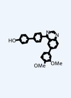 COc1ccc(-c2ccc3ncnc(-c4ccc(-c5ccc(O)cc5)cc4)c3c2)cc1OC